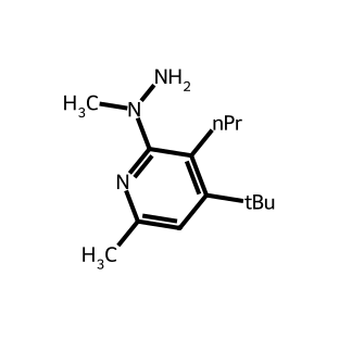 CCCc1c(C(C)(C)C)cc(C)nc1N(C)N